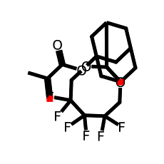 C=C(C)C(=O)OC12CC3CC(C1)C1(OCC(F)(F)C(F)(F)C(F)(F)CO1)C(C3)C2